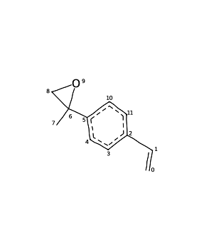 C=Cc1ccc(C2(C)CO2)cc1